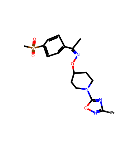 CC(=NOC1CCN(c2nc(C(C)C)no2)CC1)c1ccc(S(C)(=O)=O)cc1